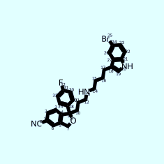 N#Cc1ccc2c(c1)COC2(CCCNCCCCc1c[nH]c2ccc(Br)cc12)c1ccc(F)cc1